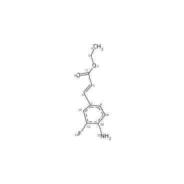 CCOC(=O)C=Cc1ccc(N)c(F)c1